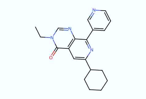 CCn1cnc2c(-c3cccnc3)nc(C3CCCCC3)cc2c1=O